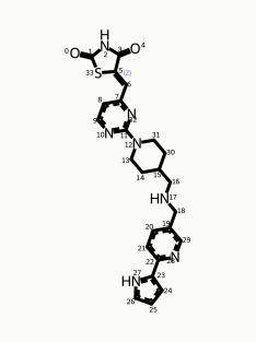 O=C1NC(=O)/C(=C/c2ccnc(N3CCC(CNCc4ccc(-c5ccc[nH]5)nc4)CC3)n2)S1